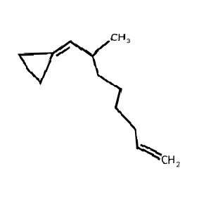 C=CCCCCC(C)C=C1CC1